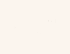 O=C(CO)CCF